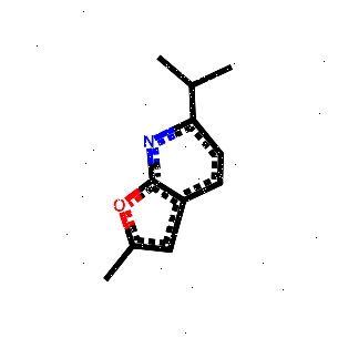 Cc1cc2ccc(C(C)C)nc2o1